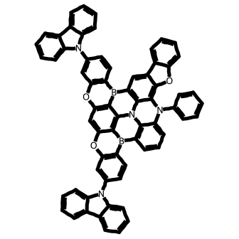 c1ccc(N2c3cccc4c3N3c5c6c(cc7c5B(c5ccc(-n8c9ccccc9c9ccccc98)cc5O7)c5cc7c(oc8ccccc87)c2c53)Oc2cc(-n3c5ccccc5c5ccccc53)ccc2B46)cc1